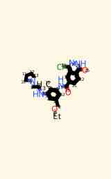 CCOCc1cc(NCCN2CCCC2)c(C)c(NC(=O)c2ccc3c(=O)[nH]nc(Cl)c3c2)c1